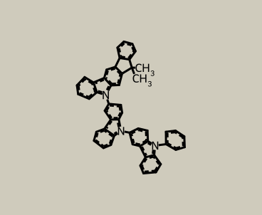 CC1(C)c2ccccc2-c2cc3c4ccccc4n(-c4ccc5c(c4)c4ccccc4n5-c4ccc5c(c4)c4ccccc4n5-c4ccccc4)c3cc21